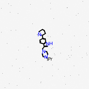 CC(C)N1CCN(Cc2c[nH]c3cc(C4CCCC[N]4)ccc23)CC1